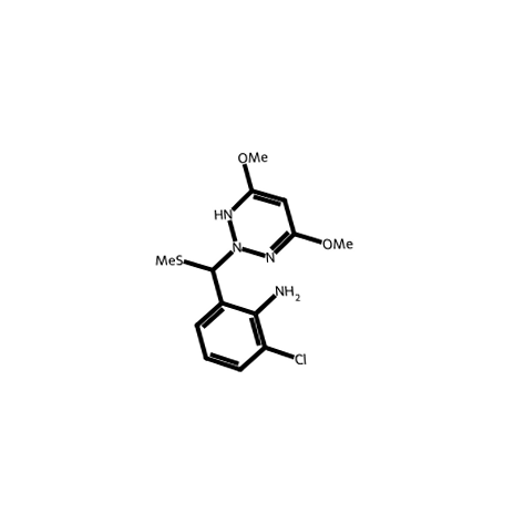 COC1=CC(OC)=NN(C(SC)c2cccc(Cl)c2N)N1